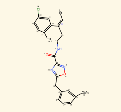 CC/C=C(/CCNC(=O)c1noc(Cc2cccc(OC)c2)n1)c1cc(Cl)ccc1C